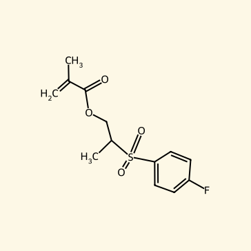 C=C(C)C(=O)OCC(C)S(=O)(=O)c1ccc(F)cc1